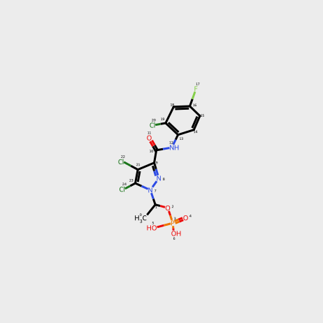 CC(OP(=O)(O)O)n1nc(C(=O)Nc2ccc(F)cc2Cl)c(Cl)c1Cl